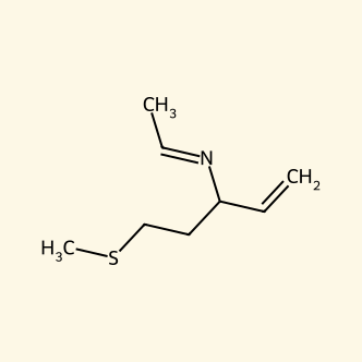 C=CC(CCSC)N=CC